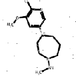 CNN1CCC[C@@H](c2cnc(Cl)c(OC)c2)CC1